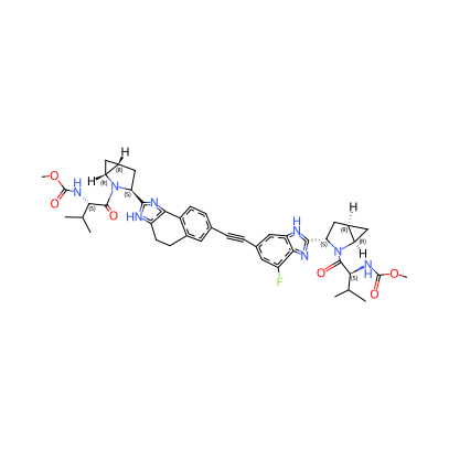 COC(=O)N[C@H](C(=O)N1[C@@H]2C[C@@H]2C[C@H]1c1nc2c([nH]1)CCc1cc(C#Cc3cc(F)c4nc([C@@H]5C[C@H]6C[C@H]6N5C(=O)[C@@H](NC(=O)OC)C(C)C)[nH]c4c3)ccc1-2)C(C)C